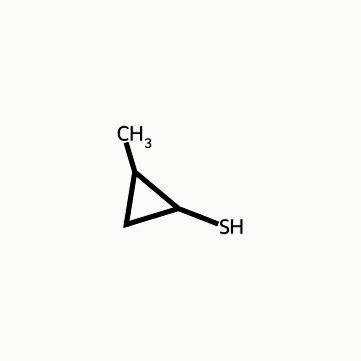 CC1CC1S